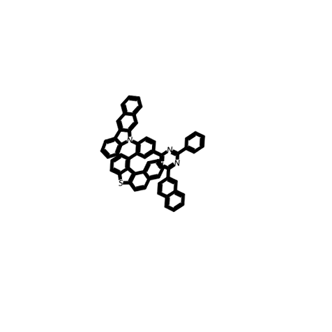 c1ccc(-c2nc(-c3ccc(-n4c5ccccc5c5cc6ccccc6cc54)c(-c4cccc5sc6ccc7ccccc7c6c45)c3)nc(-c3ccc4ccccc4c3)n2)cc1